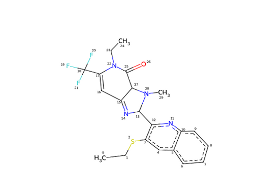 CCSc1cc2ccccc2nc1C1N=C2C=C(C(F)(F)F)N(CC)C(=O)C2N1C